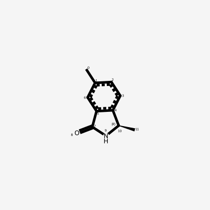 Cc1ccc2c(c1)C(=O)N[C@@H]2C